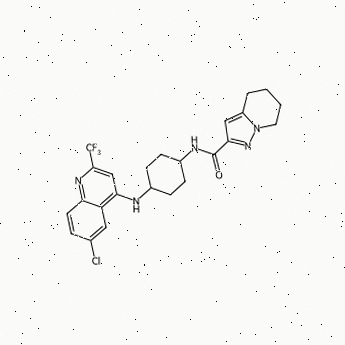 O=C(NC1CCC(Nc2cc(C(F)(F)F)nc3ccc(Cl)cc23)CC1)c1cc2n(n1)CCCC2